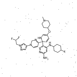 CN1CCC(OC2=CNC(C3=NCN(c4cnn(CC(F)F)c4)C=C3)(c3cnc(N)cc3NC3CCC(F)CC3)C=C2)CC1